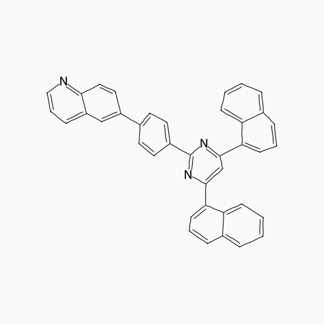 c1cnc2ccc(-c3ccc(-c4nc(-c5cccc6ccccc56)cc(-c5cccc6ccccc56)n4)cc3)cc2c1